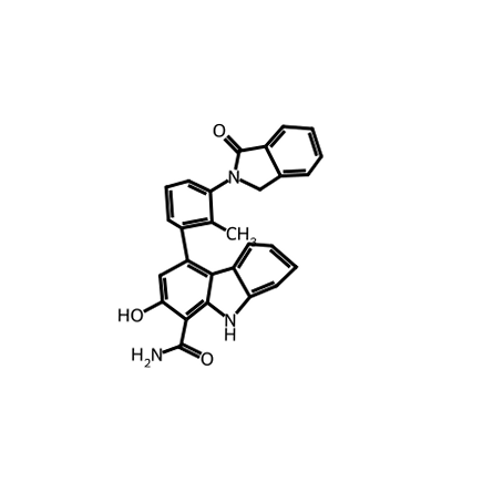 Cc1c(-c2cc(O)c(C(N)=O)c3[nH]c4ccccc4c23)cccc1N1Cc2ccccc2C1=O